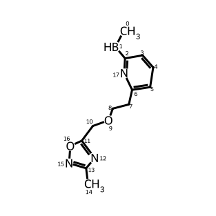 CBc1cccc(CCOCc2nc(C)no2)n1